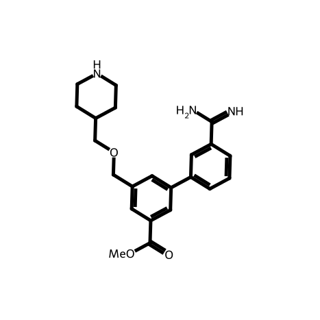 COC(=O)c1cc(COCC2CCNCC2)cc(-c2cccc(C(=N)N)c2)c1